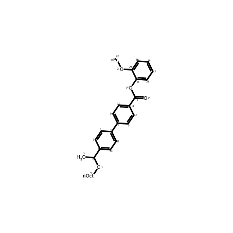 CCCCCCCCOC(C)c1ccc(-c2ccc(C(=O)Oc3ccccc3OCCC)cc2)cc1